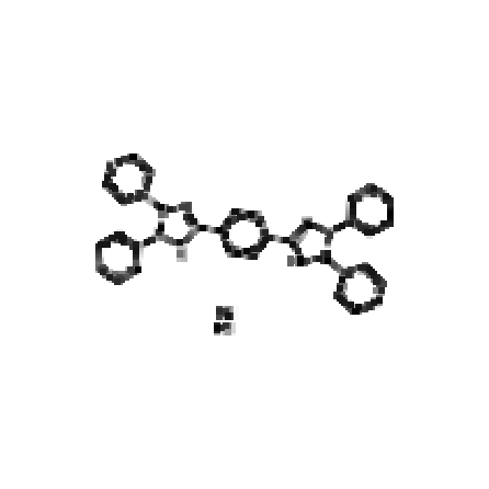 Cl.Cl.c1ccc(N2N=C(c3ccc(C4=NN(c5ccccc5)N(c5ccccc5)N4)cc3)NN2c2ccccc2)cc1